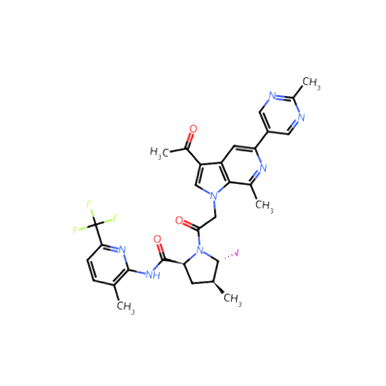 CC(=O)c1cn(CC(=O)N2[C@H](I)[C@@H](C)C[C@H]2C(=O)Nc2nc(C(F)(F)F)ccc2C)c2c(C)nc(-c3cnc(C)nc3)cc12